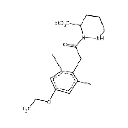 CCOC(=O)C1CCCNN1C(=O)Cc1c(C)cc(OCC(F)(F)F)cc1C